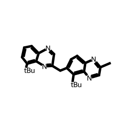 Cc1cnc2c(C(C)(C)C)c(Cc3cnc4cccc(C(C)(C)C)c4n3)ccc2n1